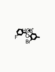 CB(O)c1cc(C)cc(Br)c1OCc1cccc(F)c1